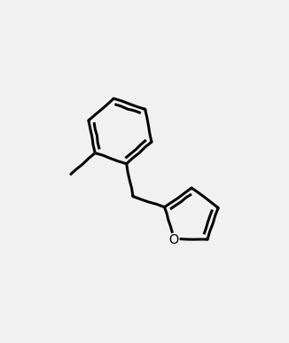 Cc1ccccc1Cc1ccco1